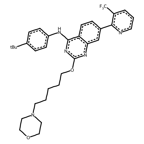 CC(C)(C)c1ccc(Nc2nc(OCCCCCN3CCOCC3)nc3cc(-c4ncccc4C(F)(F)F)ccc23)cc1